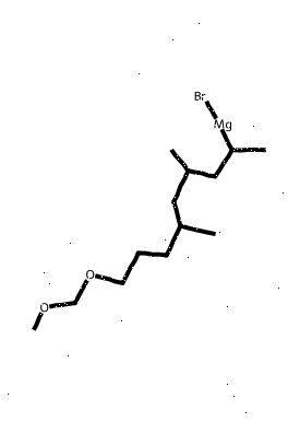 COCOCCCC(C)CC(C)C[CH](C)[Mg][Br]